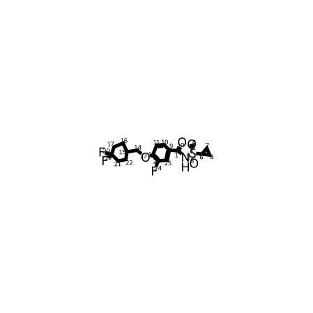 O=C(NS(=O)(=O)C1CC1)c1ccc(OCC2CCC(F)(F)CC2)c(F)c1